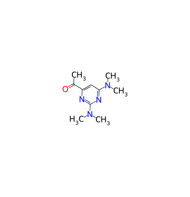 CC(=O)c1cc(N(C)C)nc(N(C)C)n1